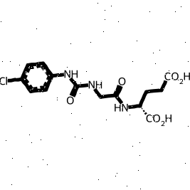 O=C(O)CC[C@@H](NC(=O)CNC(=O)Nc1ccc(Cl)cc1)C(=O)O